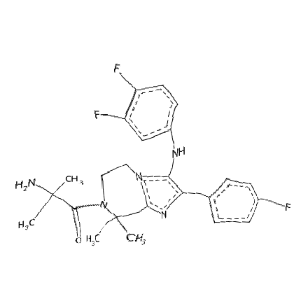 CC(C)(N)C(=O)N1CCn2c(nc(-c3ccc(F)cc3)c2Nc2ccc(F)c(F)c2)C1(C)C